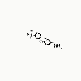 NCc1ccc(Oc2cccc(C(F)(F)F)c2)nc1